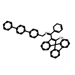 CC1=C(/C(=N\Cc2ccc(-c3ccc(-c4ccccc4)cc3)cc2)C2=CC=CCC2)c2ccccc2C12c1ccccc1-c1ccccc12